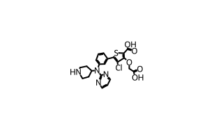 O=C(O)COc1c(C(=O)O)sc(-c2cccc(N(c3ncccn3)C3CCNCC3)c2)c1Cl